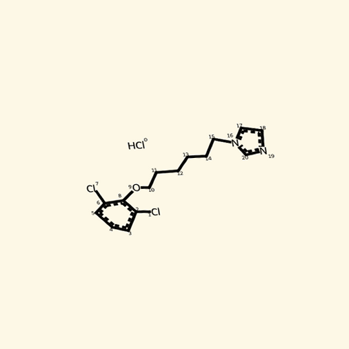 Cl.Clc1cccc(Cl)c1OCCCCCCn1ccnc1